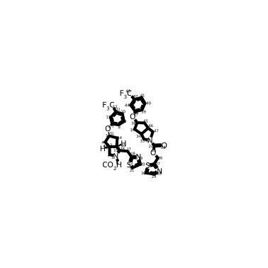 O=C(O)N1C[C@@H]2C[C@H](Oc3cccc(C(F)(F)F)c3)C[C@@H]2C1Cc1nccs1.O=C(OCc1nccs1)N1CC2CC(Oc3cccc(C(F)(F)F)c3)CC2C1